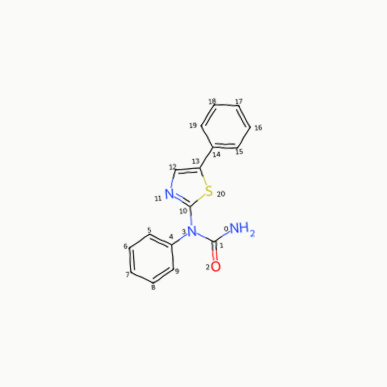 NC(=O)N(c1ccccc1)c1ncc(-c2ccccc2)s1